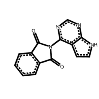 O=C1c2ccccc2C(=O)N1c1ncnc2[nH]ccc12